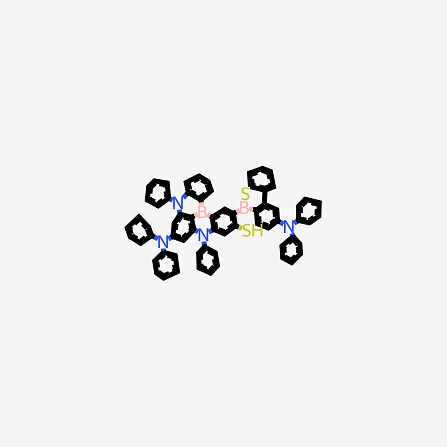 Sc1cc2c(cc1B1Sc3ccccc3-c3cc(N(c4ccccc4)c4ccccc4)ccc31)B1c3ccccc3N(c3ccccc3)c3cc(N(c4ccccc4)c4ccccc4)cc(c31)N2c1ccccc1